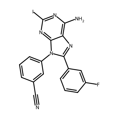 N#Cc1cccc(-n2c(-c3cccc(F)c3)nc3c(N)nc(I)nc32)c1